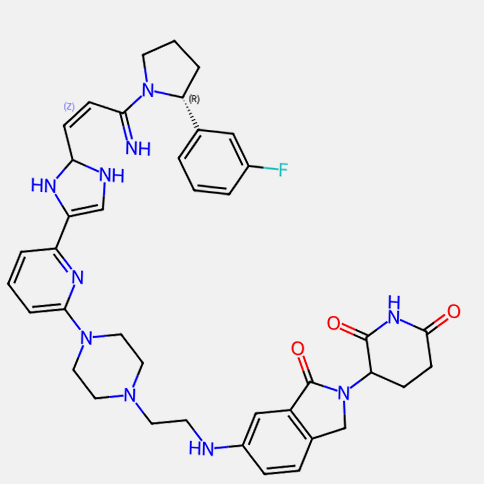 N=C(/C=C\C1NC=C(c2cccc(N3CCN(CCNc4ccc5c(c4)C(=O)N(C4CCC(=O)NC4=O)C5)CC3)n2)N1)N1CCC[C@@H]1c1cccc(F)c1